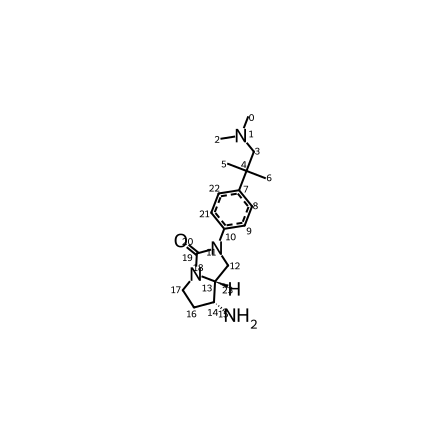 CN(C)CC(C)(C)c1ccc(N2C[C@@H]3[C@H](N)CCN3C2=O)cc1